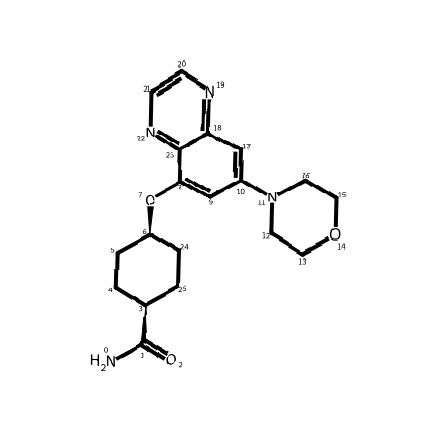 NC(=O)[C@H]1CC[C@@H](Oc2cc(N3CCOCC3)cc3nccnc23)CC1